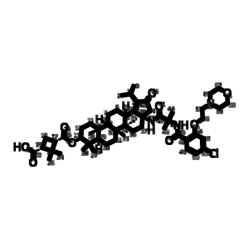 CC(C)C1=C2[C@H]3CC[C@@H]4[C@@]5(C)CC[C@H](OC(=O)[C@H]6C[C@@H](C(=O)O)C6(C)C)C(C)(C)[C@@H]5CC[C@@]4(C)[C@]3(C)CC[C@@]2(NC(=O)C(C)(C)NC(=O)c2ccc(Cl)cc2OCCN2CCOCC2)CC1=O